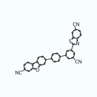 N#Cc1cc(-c2ccc(-c3ccc4c(c3)oc3cc(C#N)ccc34)cc2)cc(-c2nc3ccc(C#N)cc3s2)c1